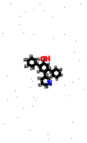 Oc1cc(-c2ccccc2)c(-c2cccnc2)cc1-c1ccccc1